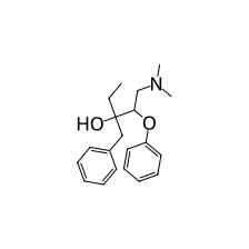 CCC(O)(Cc1ccccc1)C(CN(C)C)Oc1ccccc1